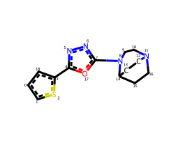 c1csc(-c2nnc(N3CCN4CCC3CC4)o2)c1